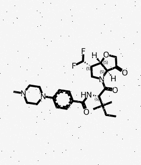 CCC(C)(C)[C@H](NC(=O)c1ccc(N2CCN(C)CC2)cc1)C(=O)N1C[C@H](C(F)F)[C@@H]2OCC(=O)[C@H]21